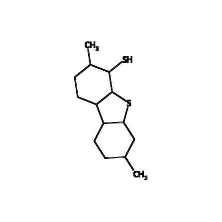 CC1CCC2C(C1)SC1C(S)C(C)CCC21